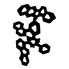 c1ccc(-c2nc(-c3ccc(-n4c5cc6ccccc6cc5c5ccc6ccccc6c54)cc3-c3cccc4ccccc34)nc(-c3cccc4c3sc3ccccc34)n2)cc1